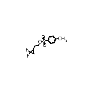 Cc1ccc(S(=O)(=O)OCCC2CC2(F)F)cc1